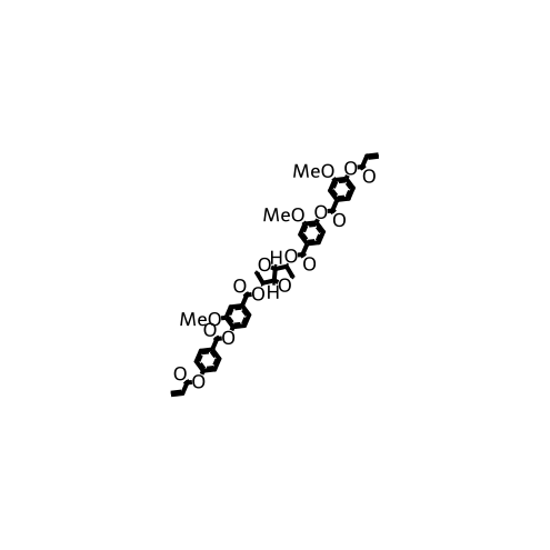 C=CC(=O)Oc1ccc(C(=O)Oc2ccc(C(=O)O[C@@H]3CO[C@H]4[C@@H]3OC[C@H]4OC(=O)c3ccc(OC(=O)c4ccc(OC(=O)C=C)c(OC)c4)c(OC)c3)cc2OC)cc1